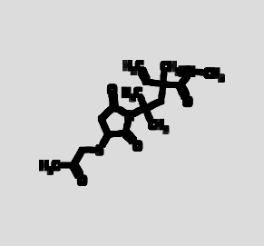 C=CC(C)(CC(C)(C)N1C(=O)CC(SCC(C)=O)C1=O)C(=O)NC